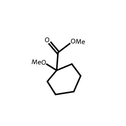 COC(=O)C1(OC)CCCCC1